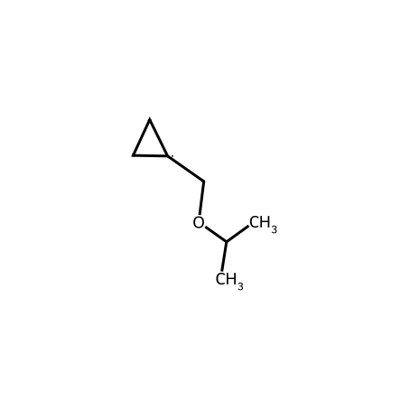 CC(C)OC[C]1CC1